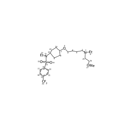 CCN(CCCCOC1CCC(N(CC)S(=O)(=O)c2ccc(C(F)(F)F)cc2)CC1)CCOC